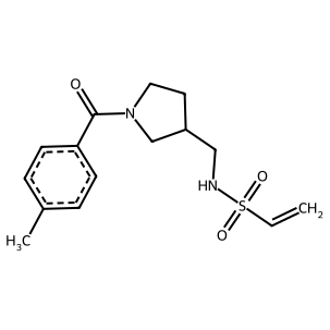 C=CS(=O)(=O)NCC1CCN(C(=O)c2ccc(C)cc2)C1